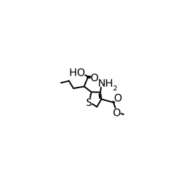 CCCC(C(=O)O)C1SCC(C(=O)OC)=C1N